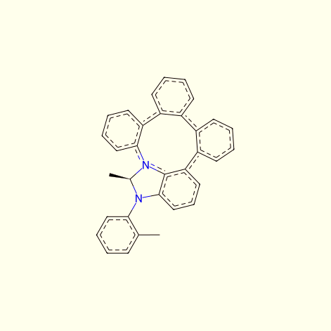 Cc1ccccc1N1c2cccc3c4ccccc4c4ccccc4c4ccccc4n(c23)[C@@H]1C